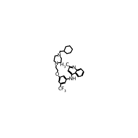 Cc1cc(Nc2cc(OCCN3CCN(CC4CCCCC4)CC3)cc(C(F)(F)F)c2)c2ccccc2n1